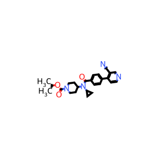 CC(C)OC(=O)N1CCC(N(C(=O)c2ccc(-c3ccncc3C#N)cc2)C2CC2)CC1